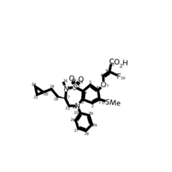 CSc1cc2c(cc1O/C=C(\F)C(=O)O)S(=O)(=O)N(C)[C@H](CCC1CC1)CN2c1ccccc1